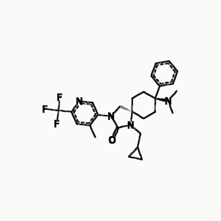 Cc1cc(C(F)(F)F)ncc1N1C[C@]2(CC[C@](c3ccccc3)(N(C)C)CC2)N(CC2CC2)C1=O